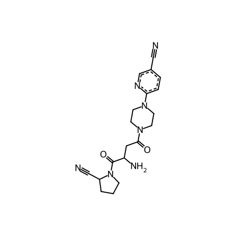 N#Cc1ccc(N2CCN(C(=O)CC(N)C(=O)N3CCCC3C#N)CC2)nc1